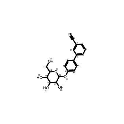 N#Cc1cccc(-c2ccc(OC3OC(CO)C(O)C(O)C3O)cc2)c1